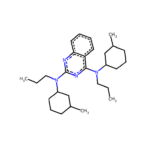 CCCN(c1nc(N(CCC)C2CCCC(C)C2)c2ccccc2n1)C1CCCC(C)C1